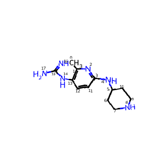 Cc1nc(NC2CCNCC2)ccc1NC(=N)N